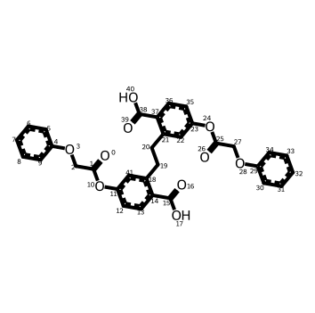 O=C(COc1ccccc1)Oc1ccc(C(=O)O)c(CCc2cc(OC(=O)COc3ccccc3)ccc2C(=O)O)c1